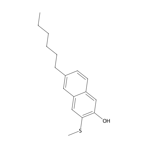 CCCCCCc1ccc2cc(O)c(SC)cc2c1